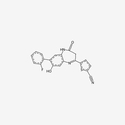 N#Cc1ccc(C2=Nc3cc(O)c(-c4ccccc4F)cc3NC(=O)C2)s1